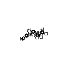 O=C(Nc1ccc(-n2ccnc2)cc1)c1cc(NC(=O)[C@H]2[C@H](c3cc(Cl)cc(Cl)c3)C2(Cl)Cl)ccc1Cl